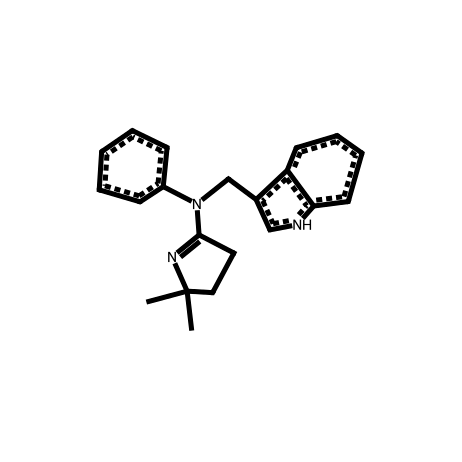 CC1(C)CCC(N(Cc2c[nH]c3ccccc23)c2ccccc2)=N1